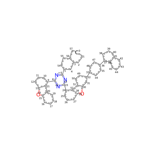 c1ccc2cc(-c3nc(-c4cccc5oc6ccccc6c45)nc(-c4cccc5oc6cc(-c7ccc(-c8cccc9ccccc89)cc7)ccc6c45)n3)ccc2c1